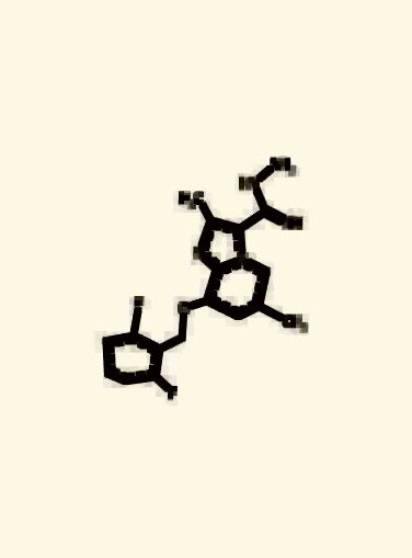 Cc1cc(OCc2c(F)cccc2F)c2nc(C)c(C(=N)NN)n2c1